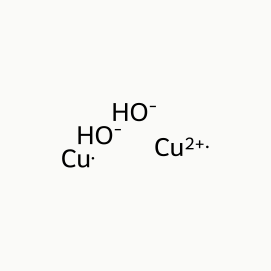 [Cu+2].[Cu].[OH-].[OH-]